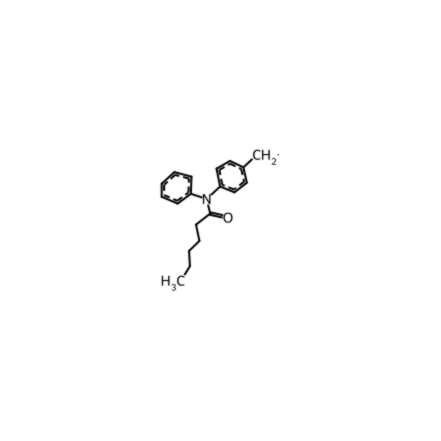 [CH2]c1ccc(N(C(=O)CCCCC)c2ccccc2)cc1